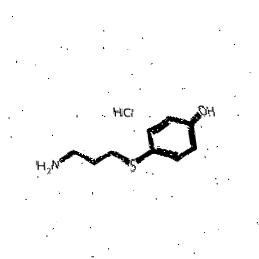 Cl.NCCCSc1ccc(O)cc1